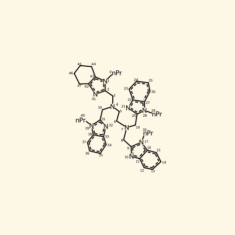 CCCn1c(CN(CCN(Cc2nc3ccccc3n2CCC)Cc2nc3ccccc3n2CCC)Cc2nc3ccccc3n2CCC)nc2c1CCCC2